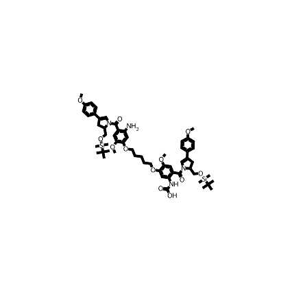 COc1ccc(C2=CN(C(=O)c3cc(OC)c(OCCCCCOc4cc(NC(=O)O)c(C(=O)N5C=C(c6ccc(OC)cc6)CC5CO[Si](C)(C)C(C)(C)C)cc4OC)cc3N)C(CO[Si](C)(C)C(C)(C)C)C2)cc1